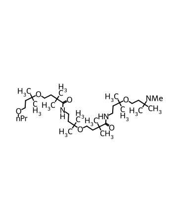 CCCOCCC(C)(C)OCCC(C)(C)C(=O)NCCC(C)(C)OCCC(C)(C)C(=O)NCCC(C)(C)OCCC(C)(C)NC